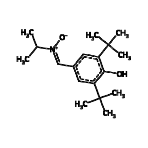 CC(C)[N+]([O-])=Cc1cc(C(C)(C)C)c(O)c(C(C)(C)C)c1